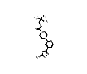 CC(C)(C)COC(=O)N1CCN(c2cc(-c3noc(N)n3)ccn2)CC1